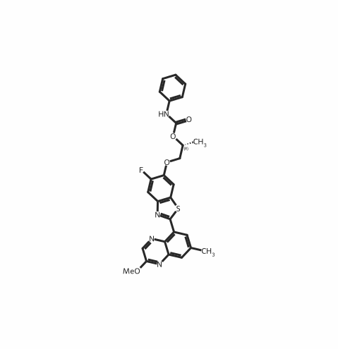 COc1cnc2c(-c3nc4cc(F)c(OC[C@@H](C)OC(=O)Nc5ccccc5)cc4s3)cc(C)cc2n1